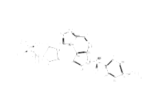 CCS(=O)(=O)N[C@H]1CC[C@@H](c2nnc3cnc4c(ccn4S(=O)(=O)c4ccc(C)cc4)n23)C1